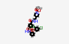 CC(C)(C)OC(=O)N1CCC(CCNC(=O)c2ccc(S(=O)(=O)Nc3ccccc3Oc3ccc(Cl)cc3Cl)cc2)CC1